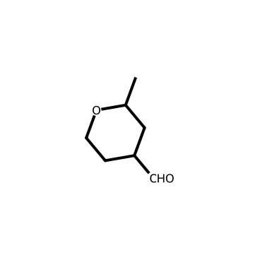 CC1CC(C=O)CCO1